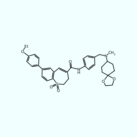 CCOc1ccc(-c2ccc3c(c2)C=C(C(=O)Nc2ccc(CN(C)C4CCC5(CC4)OCCO5)cc2)CCS3(=O)=O)cc1